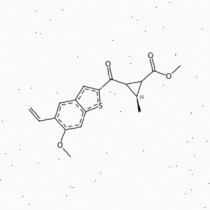 C=Cc1cc2cc(C(=O)C3C(C(=O)OC)[C@H]3C)sc2cc1OC